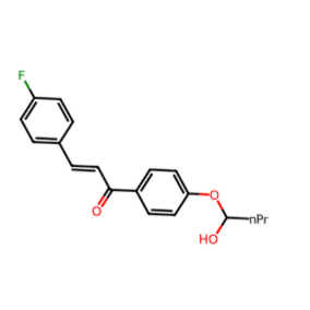 CCCC(O)Oc1ccc(C(=O)C=Cc2ccc(F)cc2)cc1